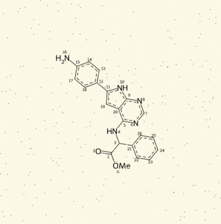 COC(=O)C(Nc1ncnc2[nH]c(-c3ccc(N)cc3)cc12)c1ccccc1